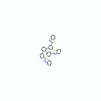 c1cc(-c2nc3ccccc3s2)cc(-c2cccc(-c3cccc(-c4nc5ccccc5s4)c3)c2-c2cccc(-c3nc4ccccc4s3)c2)c1